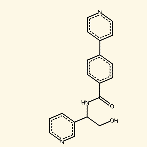 O=C(NC(CO)c1cccnc1)c1ccc(-c2ccncc2)cc1